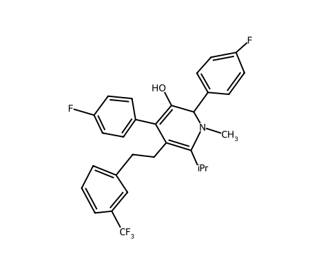 CC(C)C1=C(CCc2cccc(C(F)(F)F)c2)C(c2ccc(F)cc2)=C(O)C(c2ccc(F)cc2)N1C